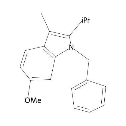 COc1ccc2c(C)c(C(C)C)n(Cc3ccccc3)c2c1